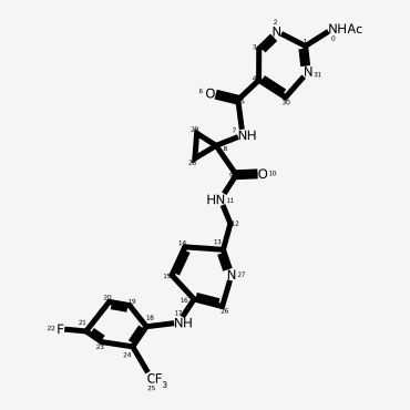 CC(=O)Nc1ncc(C(=O)NC2(C(=O)NCc3ccc(Nc4ccc(F)cc4C(F)(F)F)cn3)CC2)cn1